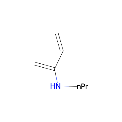 C=CC(=C)NCCC